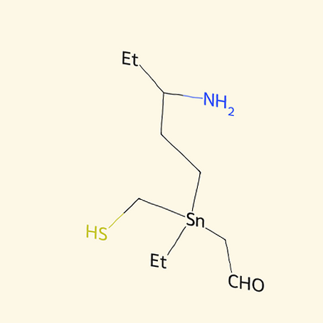 CCC(N)C[CH2][Sn]([CH2]C)([CH2]S)[CH2]C=O